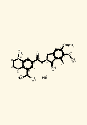 Br.COc1cc2c(c(F)c1OC)C(=N)N(CC(=O)c1cc(C(C)C)c3c(c1)N(C)CCO3)C2